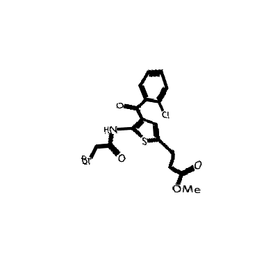 COC(=O)CCc1cc(C(=O)c2ccccc2Cl)c(NC(=O)CBr)s1